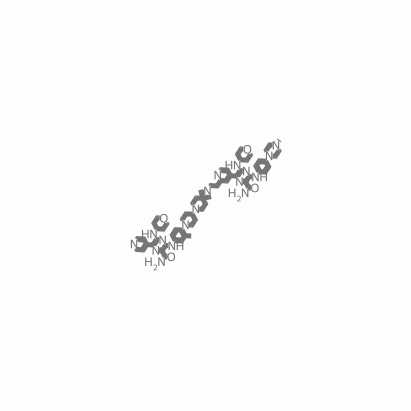 Cc1cc(Nc2nc(NC3CCOCC3)c(-c3ccncc3)nc2C(N)=O)ccc1N1CCC(N2CCC3(CC2)CN(CCc2cc(-c4nc(C(N)=O)c(Nc5ccc(N6CCN(C)CC6)cc5)nc4NC4CCOCC4)ccn2)C3)CC1